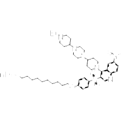 CCCCCCCCCCCCCCCCCCCCOc1ccc(S(=O)(=O)c2cnc3ccc([S@@+](C)[O-])cc3c2N2CCC(N3CCN(C4CCN(CC)CC4)CC3)CC2)cc1